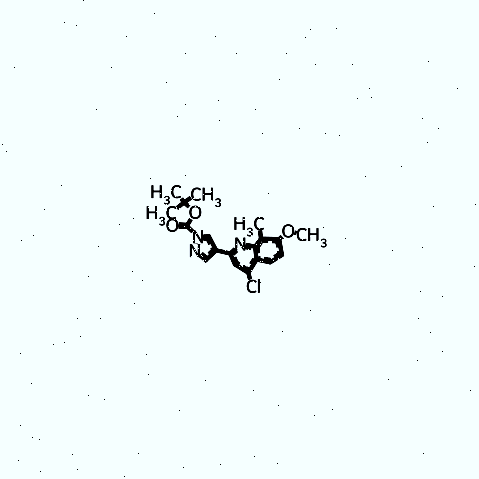 COc1ccc2c(Cl)cc(-c3cnn(C(=O)OC(C)(C)C)c3)nc2c1C